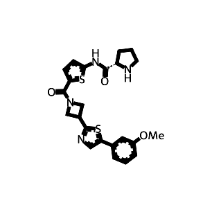 COc1cccc(-c2cnc(C3CN(C(=O)c4ccc(NC(=O)[C@@H]5CCCN5)s4)C3)s2)c1